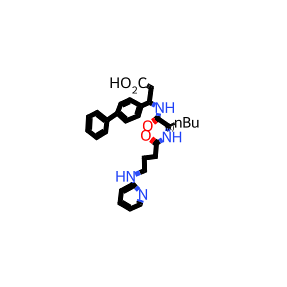 CCCC[C@@H](NC(=O)CCCNc1ccccn1)C(=O)NC(CC(=O)O)c1ccc(-c2ccccc2)cc1